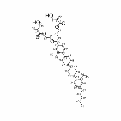 C=C(CO)C(=O)OCCCC(OCCOC(=O)C(=C)CO)c1ccc(C2CCC(C3CCC(c4ccc(CCCCC)cc4CC)CC3)CC2)c(CC)c1